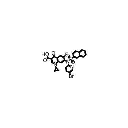 O=C(O)c1cn(C2CC2)c2cc(N(c3ccc(Br)cn3)S(=O)(=O)c3ccc4ccccc4c3)c(F)cc2c1=O